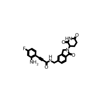 Nc1cc(F)ccc1C#CC(=O)NCc1ccc2c(c1)CN(C1CCC(=O)NC1=O)C2=O